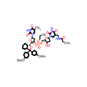 COc1ccc(C(OC[C@H]2O[C@@H](n3cc(C)c(=O)[nH]c3=O)CC2OP(=O)(OCCC#N)OC[C@H]2O[C@@H](n3cc(CNC(=O)COC(C)=O)c(=O)[nH]c3=O)CC2O)(c2ccccc2)c2ccc(OC)cc2)cc1